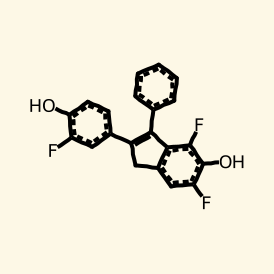 Oc1ccc(C2=C(c3ccccc3)c3c(cc(F)c(O)c3F)C2)cc1F